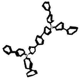 C1=CC(c2ccc(-c3ccc(N(c4ccc(-c5ccccc5)cc4)c4ccc(-c5ccccc5)cc4)cc3)cc2)CC=C1N(c1ccc(-c2ccccc2)cc1)c1ccc(-c2ccccc2)cc1